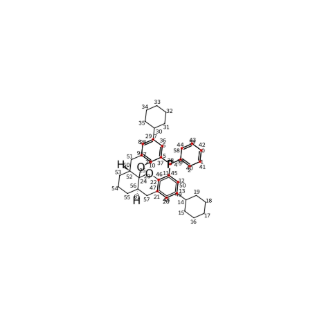 c1ccc(P(c2ccccc2)c2cc(C3CCCCC3)cc3c2OC24Oc5c(cc(C6CCCCC6)cc5P(c5ccccc5)c5ccccc5)C[C@H]2CCC[C@@H]4C3)cc1